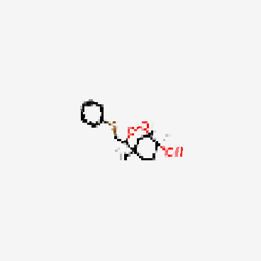 C[C@]1(O)CC[C@H]2C[C@@H]1OO[C@]2(C)CSc1ccccc1